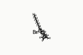 C=CC[N+](CC=C)(CC=C)Cc1ccc(OCCCCCCCCCCCC)cc1.[Br-]